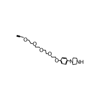 C#CCOCCOCCOCCOCCOc1ccc(N2CCNCC2)cc1